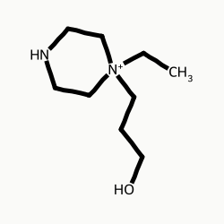 CC[N+]1(CCCO)CCNCC1